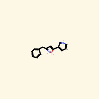 c1ccc(Cc2cc(-c3cccnc3)on2)cc1